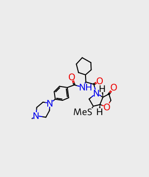 CS[C@H]1CN(C(=O)[C@@H](NC(=O)c2ccc(N3CCN(C)CC3)cc2)C2CCCCC2)[C@@H]2C(=O)CO[C@H]12